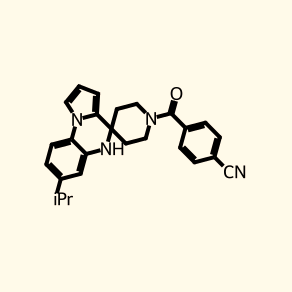 CC(C)c1ccc2c(c1)NC1(CCN(C(=O)c3ccc(C#N)cc3)CC1)c1cccn1-2